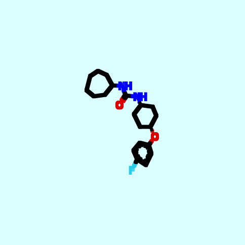 O=C(NC1CCCCCC1)N[C@H]1CC[C@@H](Oc2ccc(F)cc2)CC1